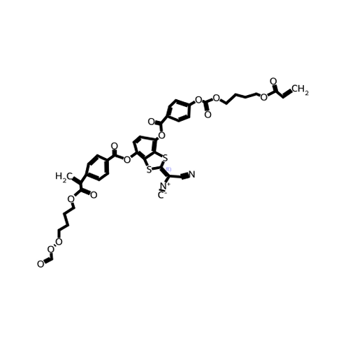 [C-]#[N+]/C(C#N)=C1/Sc2c(OC(=O)c3ccc(OC(=O)OCCCCOC(=O)C=C)cc3)ccc(OC(=O)c3ccc(C(=C)C(=O)OCCCCOOC=O)cc3)c2S1